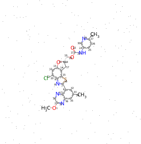 COc1cnc2c(-c3nc4c(Cl)cc5c(c4s3)C[C@@H](COC(=O)Nc3ccc(C)nc3)O5)cc(C)cc2n1